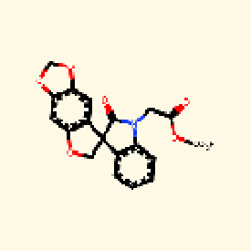 O=C(O)OC(=O)CN1C(=O)C2(COc3cc4c(cc32)OCO4)c2ccccc21